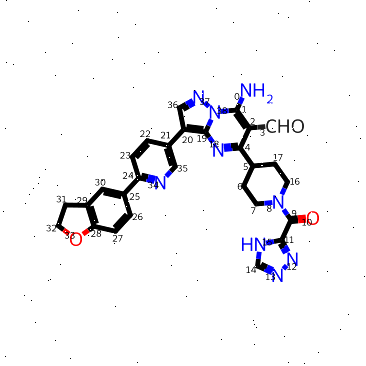 Nc1c(C=O)c(C2CCN(C(=O)c3nnc[nH]3)CC2)nc2c(-c3ccc(-c4ccc5c(c4)CCO5)nc3)cnn12